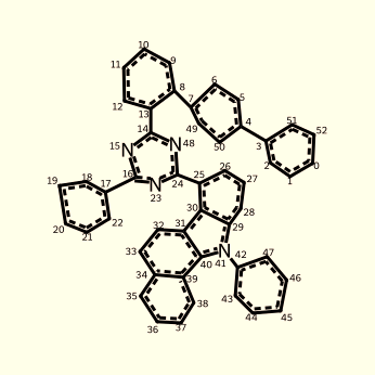 c1ccc(-c2ccc(-c3ccccc3-c3nc(-c4ccccc4)nc(-c4cccc5c4c4ccc6ccccc6c4n5-c4ccccc4)n3)cc2)cc1